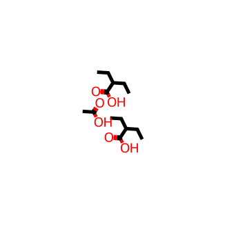 CC(=O)O.CCC(CC)C(=O)O.CCC(CC)C(=O)O